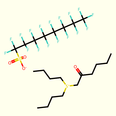 CCCCC(=O)C[S+](CCCC)CCCC.O=S(=O)([O-])C(F)(F)C(F)(F)C(F)(F)C(F)(F)C(F)(F)C(F)(F)C(F)(F)C(F)(F)F